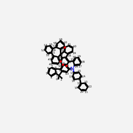 CC1(C)c2ccccc2-c2ccc(N(c3ccc(-c4ccccc4)cc3)c3ccccc3-c3cccc4c3-c3ccccc3C43c4ccccc4-c4ccccc4-c4ccccc43)cc21